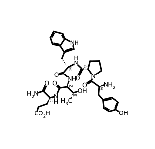 C[C@@H](O)[C@H](NC(=O)[C@H](Cc1c[nH]c2ccccc12)NC(=O)[C@@H]1CCCN1C(=O)[C@@H](N)Cc1ccc(O)cc1)C(=O)N[C@@H](CCC(=O)O)C(N)=O